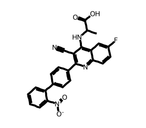 CC(Nc1c(C#N)c(-c2ccc(-c3ccccc3[N+](=O)[O-])cc2)nc2ccc(F)cc12)C(=O)O